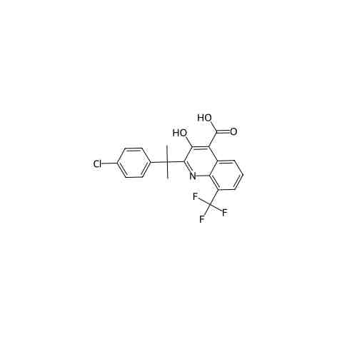 CC(C)(c1ccc(Cl)cc1)c1nc2c(C(F)(F)F)cccc2c(C(=O)O)c1O